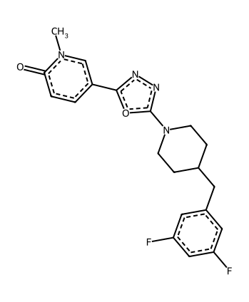 Cn1cc(-c2nnc(N3CCC(Cc4cc(F)cc(F)c4)CC3)o2)ccc1=O